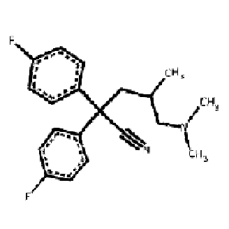 CC(CN(C)C)CC(C#N)(c1ccc(F)cc1)c1ccc(F)cc1